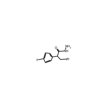 CC(C)CC(C(=O)NN)c1ccc(F)cc1